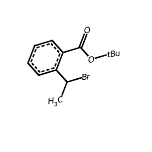 CC(Br)c1ccccc1C(=O)OC(C)(C)C